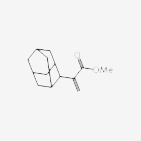 C=C(C(=O)OC)C1C2CC3CC(C2)CC1C3